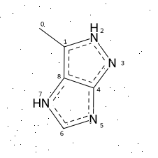 Cc1[nH]nc2nc[nH]c12